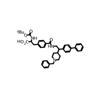 CC(C)(C)OC(=O)NC(Cc1ccc(C(=O)NCC(c2ccc(-c3ccccc3)cc2)C2CCN(Cc3ccccc3)CC2)cc1)C(=O)O